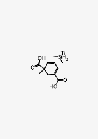 CC1(C(=O)O)C=CC=C(C(=O)O)C1.C[SiH2]C.[Ti]